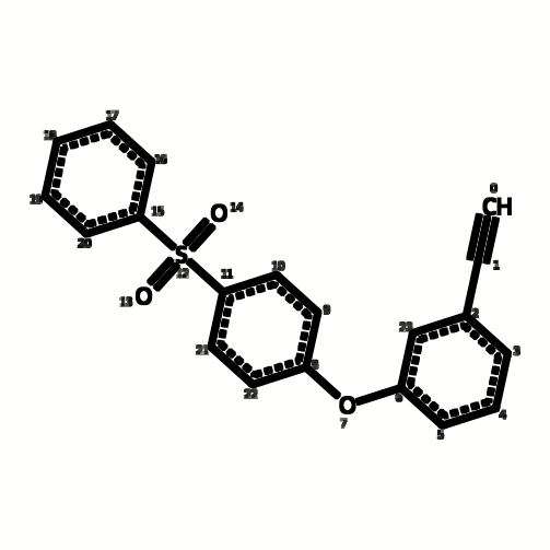 C#Cc1cccc(Oc2ccc(S(=O)(=O)c3ccccc3)cc2)c1